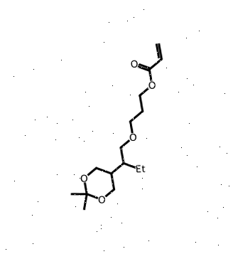 C=CC(=O)OCCCOCC(CC)C1COC(C)(C)OC1